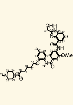 COc1cc(C(=O)N(C)c2ccc(C)cc2OCCCCCC(=O)N2CCN(C)CC2)ccc1NC(=O)c1cccc2[nH]c(CO)nc12